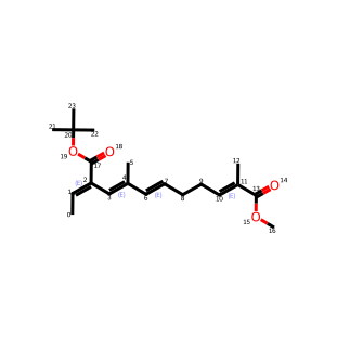 C\C=C(/C=C(C)/C=C/CC/C=C(\C)C(=O)OC)C(=O)OC(C)(C)C